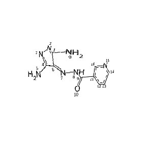 NC1=NN=C(N)C1=NNC(=O)c1cccnc1